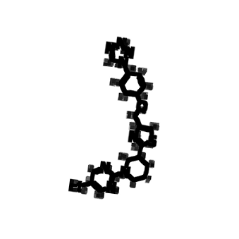 CCc1cnc(N2CCCC(c3nc(COc4ccc(-n5cnnn5)cc4)cs3)C2)nc1